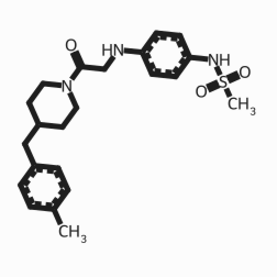 Cc1ccc(CC2CCN(C(=O)CNc3ccc(NS(C)(=O)=O)cc3)CC2)cc1